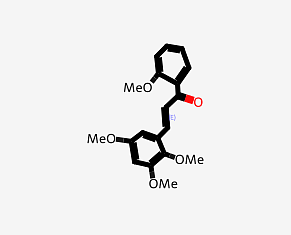 COc1cc(/C=C/C(=O)c2ccccc2OC)c(OC)c(OC)c1